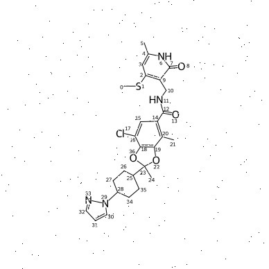 CSc1cc(C)[nH]c(=O)c1CNC(=O)c1cc(Cl)c2c(c1C)OC(C)(C1CCC(n3cccn3)CC1)O2